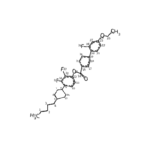 CCCCCC1CCC(c2ccc(OC(=O)c3ccc(-c4ccc(OCC)cc4F)cc3)c(F)c2F)CC1